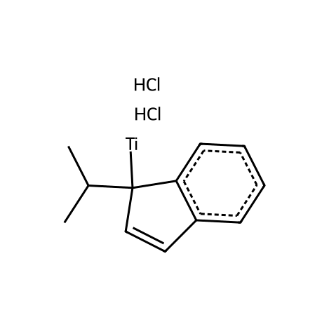 CC(C)[C]1([Ti])C=Cc2ccccc21.Cl.Cl